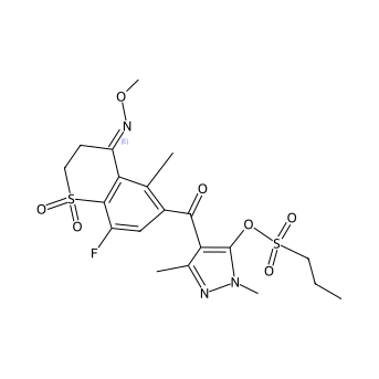 CCCS(=O)(=O)Oc1c(C(=O)c2cc(F)c3c(c2C)/C(=N/OC)CCS3(=O)=O)c(C)nn1C